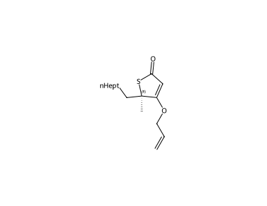 C=CCOC1=CC(=O)S[C@]1(C)CCCCCCCC